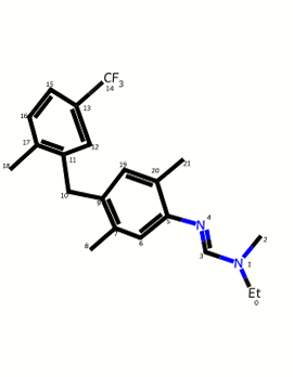 CCN(C)C=Nc1cc(C)c(Cc2cc(C(F)(F)F)ccc2C)cc1C